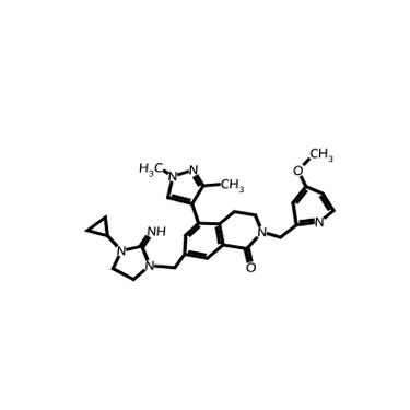 COc1ccnc(CN2CCc3c(cc(CN4CCN(C5CC5)C4=N)cc3-c3cn(C)nc3C)C2=O)c1